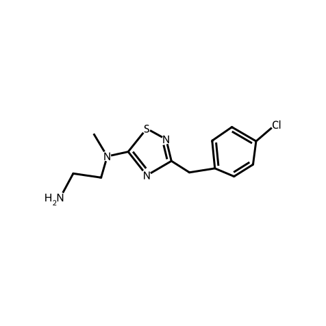 CN(CCN)c1nc(Cc2ccc(Cl)cc2)ns1